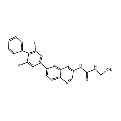 CCNC(=O)Nc1cnc2ccc(-c3cc(F)c(-c4ccccc4)c(F)c3)nc2n1